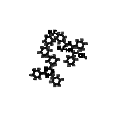 C/C=C(/NC(/N=C(\C)c1ccc(C)c(-c2cccc(-c3cccc(-c4cccc(-c5nc(-c6ccccc6)nc(-c6ccccc6)n5)c4)c3)c2)c1)c1ccccc1)c1ccccc1